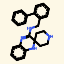 c1ccc(-c2ccccc2CNC2=Nc3ccccc3NC23CCNCC3)cc1